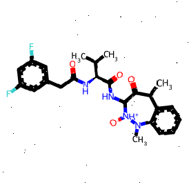 CC1C(=O)C(NC(=O)[C@@H](NC(=O)Cc2cc(F)cc(F)c2)C(C)C)[NH+]([O-])N(C)c2ccccc21